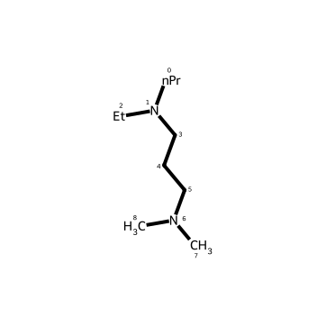 CCCN(CC)CCCN(C)C